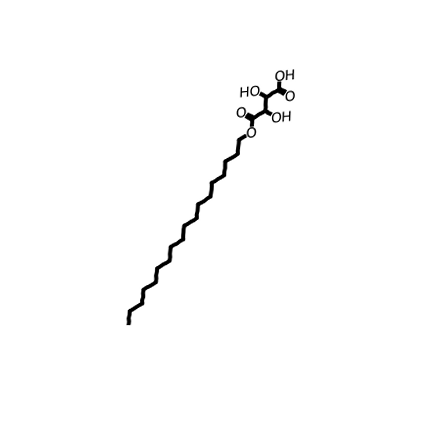 CCCCCCCCCCCCCCCCCCOC(=O)C(O)C(O)C(=O)O